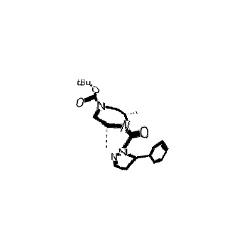 C[C@@H]1CN(C(=O)OC(C)(C)C)C[C@H](C)N1C(=O)N1N=CCC1c1ccccc1